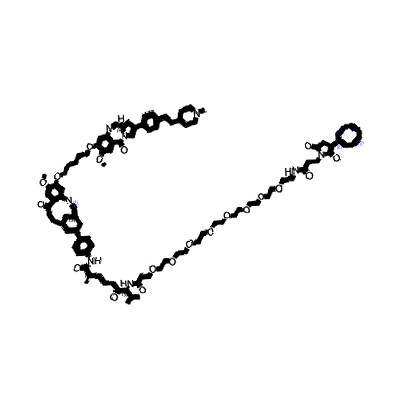 COc1cc2c(cc1OCCCCCOc1cc3c(cc1OC)C(=O)CCC1C=C(c4ccc(NC(=O)[C@H](C)CCCC(=O)[C@@H](NC(=O)CCOCCOCCOCCOCCOCCOCCOCCOCCNC(=O)CCN5C(=O)CC(C6=C/C=C\C=C/C=C\6)C5=O)C(C)C)cc4)C[C@@H](/C=N\3)C1)N=C[C@@H]1CC(c3ccc(CCC4CCN(C)CC4)cc3)=CN1C2=O